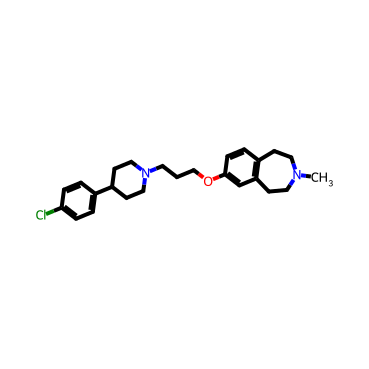 CN1CCc2ccc(OCCCN3CCC(c4ccc(Cl)cc4)CC3)cc2CC1